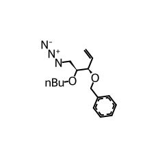 C=C[C@@H](OCc1ccccc1)[C@H](CN=[N+]=[N-])OCCCC